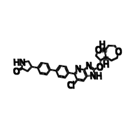 O=C1CC(c2ccc(-c3ccc(-c4nc5nc(OC6CO[C@@H]7CCOCC[C@@H]67)[nH]c5cc4Cl)cc3)cc2)CN1